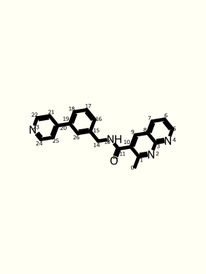 Cc1nc2ncccc2cc1C(=O)NCc1cccc(-c2ccncc2)c1